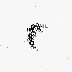 Cc1ccc(S(=O)(=O)n2ccc3c(NN4CC[C@H](OC(N)=O)C4)c([N+](=O)[O-])cnc32)cc1